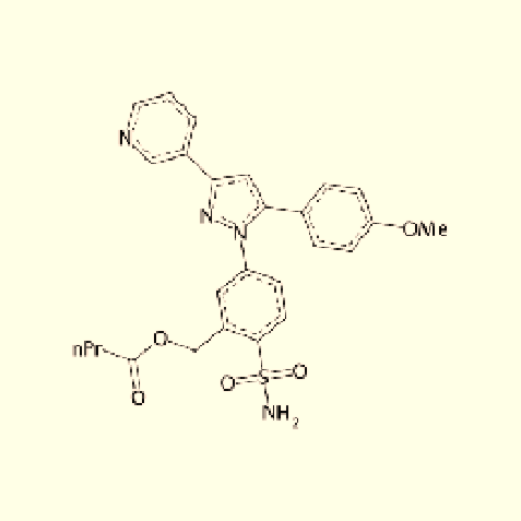 CCCC(=O)OCc1cc(-n2nc(-c3cccnc3)cc2-c2ccc(OC)cc2)ccc1S(N)(=O)=O